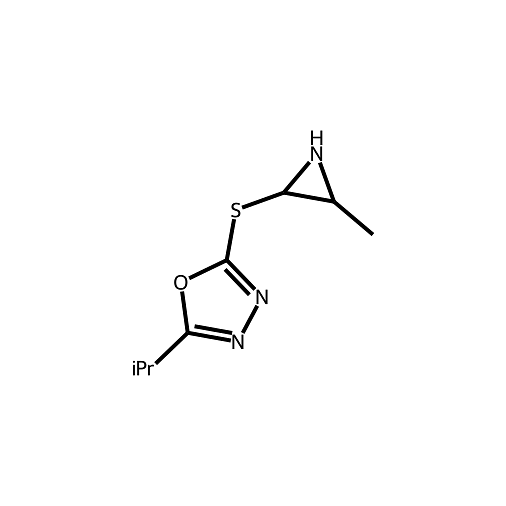 CC(C)c1nnc(SC2NC2C)o1